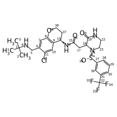 CC(C)(C)NCc1cc2c(cc1Cl)[C@H](NC(=O)CC1C(=O)NCCN1[S+]([O-])c1cccc(C(F)(F)F)c1)CCO2